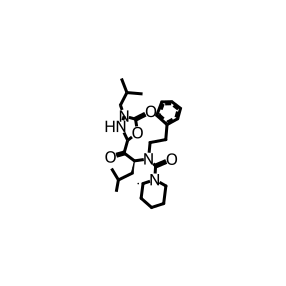 CC(C)C[C@@H](C(=O)C1NN(CC(C)C)C(=O)O1)N(CCc1ccccc1)C(=O)N1[CH]CCCC1